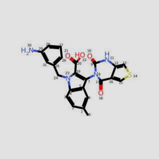 Cc1ccc2c(c1)c(-n1c(=O)[nH]c3cscc3c1=O)c(C(=O)O)n2Cc1cccc(N)c1